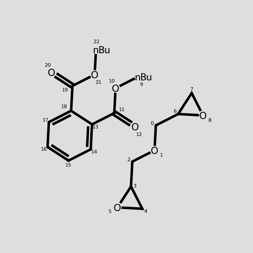 C(OCC1CO1)C1CO1.CCCCOC(=O)c1ccccc1C(=O)OCCCC